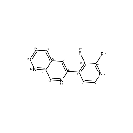 Fc1nccc(-c2cc3cccnc3cn2)c1F